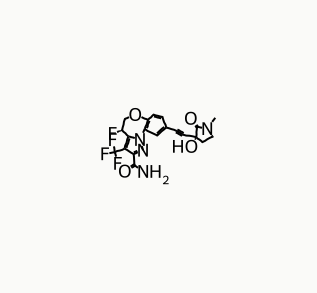 CN1CC[C@@](O)(C#Cc2ccc3c(c2)-n2nc(C(N)=O)c(C(F)(F)F)c2[C@@H](F)CO3)C1=O